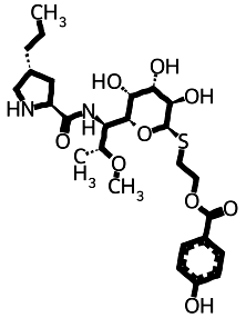 CCC[C@H]1CN[C@H](C(=O)N[C@@H]([C@H]2O[C@H](SCCOC(=O)c3ccc(O)cc3)[C@H](O)[C@@H](O)[C@H]2O)[C@@H](C)OC)C1